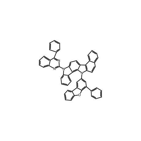 c1ccc(-c2nc(-n3c4ccccc4c4c3ccc3c5c6ccccc6ccc5n(-c5cc(-c6ccccc6)c6oc7ccccc7c6c5)c34)nc3ccccc23)cc1